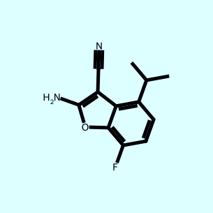 CC(C)c1ccc(F)c2oc(N)c(C#N)c12